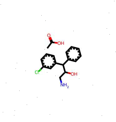 CC(=O)O.NCC(O)C(c1ccccc1)c1cccc(Cl)c1